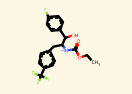 CCOC(=O)NC(Cc1ccc(C(F)(F)F)cc1)C(O)c1ccc(F)cc1